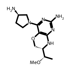 CO[C@@H](C)[C@@H]1COc2c(nc(N)nc2N2CC[C@@H](N)C2)N1